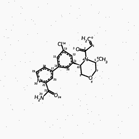 C=CC(=O)N1[C@H](C)COC[C@H]1c1cc(Cl)cc(-c2ccnc(C(N)=O)c2)c1